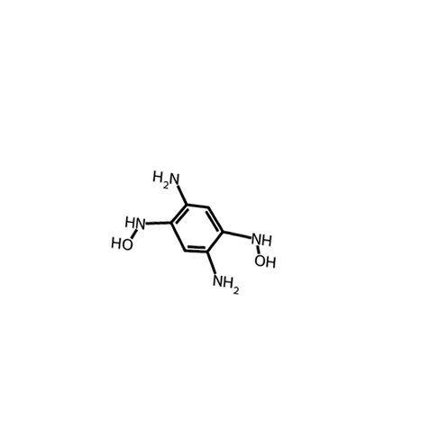 Nc1cc(NO)c(N)cc1NO